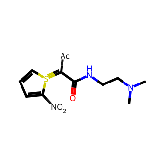 CC(=O)C(C(=O)NCCN(C)C)=S1C=CC=C1[N+](=O)[O-]